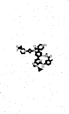 CNC(=O)c1cc(Nc2nc(-c3ccc4c(c3)N(C3CC(N5CCC[C@@]6(C5)CC6(F)F)C3)C(=O)C43CCNCC3)cc3ncn(C4CC4)c23)ccc1C